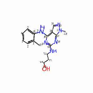 Cc1ccccc1Nc1nc(NCCCO)nc2c1cnn2C